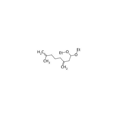 C=C(C)CCCC(=C)CC(OCC)OCC